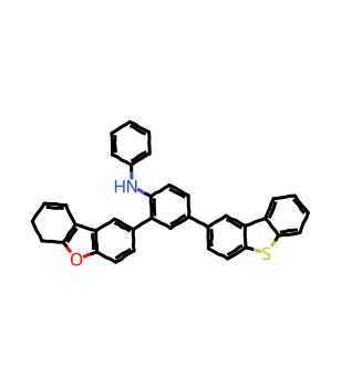 C1=Cc2c(oc3ccc(-c4cc(-c5ccc6sc7ccccc7c6c5)ccc4Nc4ccccc4)cc23)CC1